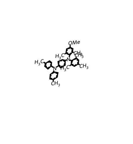 COc1cc(C)c(N(c2ccc(N(c3ccc(C)cc3)c3ccc(C)cc3)cc2)c2c(C)cc(C)cc2C)c(C)c1